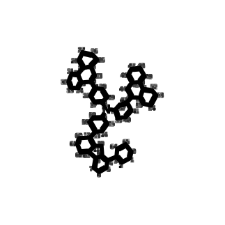 c1ccc(-c2cccc3c2Cc2c(-c4ccc(N(c5ccc(-c6cc7ccccc7c7ccccc67)cc5)c5cccc(-c6cc7ccccc7c7ccccc67)c5)cc4)cccc2-3)cc1